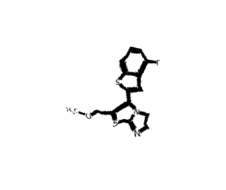 COCC1=C(c2cc3c(F)cccc3s2)N2CCN=C2S1